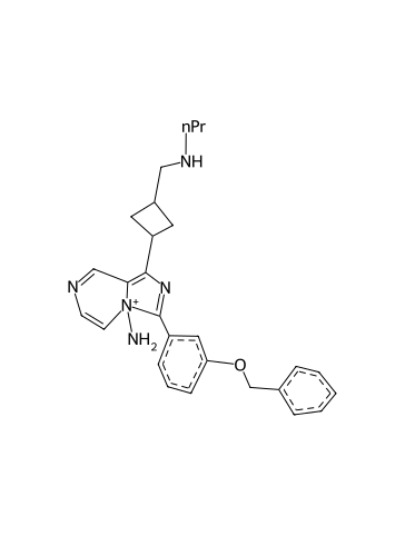 CCCNCC1CC(C2=C3C=NC=C[N+]3(N)C(c3cccc(OCc4ccccc4)c3)=N2)C1